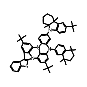 CC(C)(C)c1ccc2c(c1)C1(C)CCCCC1(C)N2c1ccc2c(c1)n(-c1ccc3c(c1)C(C)(C)CCC3(C)C)c1cc(C(C)(C)C)cc3c1-n2c1cc(C(C)(C)C)cc2c4c5ccccc5sc4n3c21